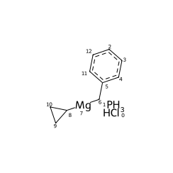 Cl.P.c1ccc([CH2][Mg][CH]2CC2)cc1